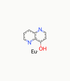 Oc1ccnc2cccnc12.[Eu]